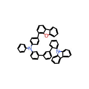 c1ccc(N(c2ccc(-c3cccc4c3oc3ccccc34)cc2)c2cccc(-c3cccc(-c4ccccc4-n4c5ccccc5c5ccccc54)c3)c2)cc1